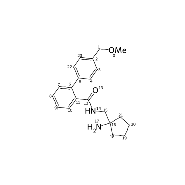 COCc1ccc(-c2cc[c]cc2C(=O)NCC2(N)CCCC2)cc1